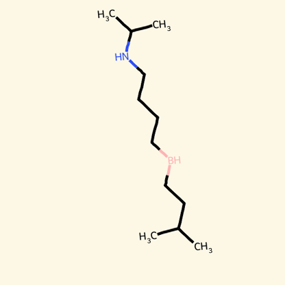 CC(C)CCBCCCCNC(C)C